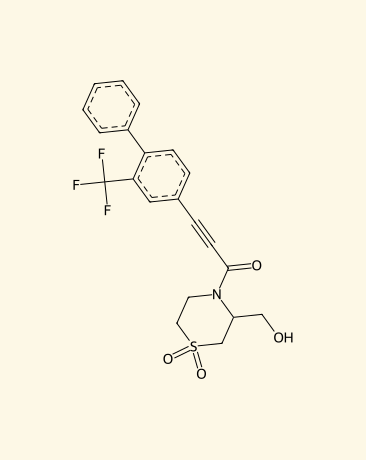 O=C(C#Cc1ccc(-c2ccccc2)c(C(F)(F)F)c1)N1CCS(=O)(=O)CC1CO